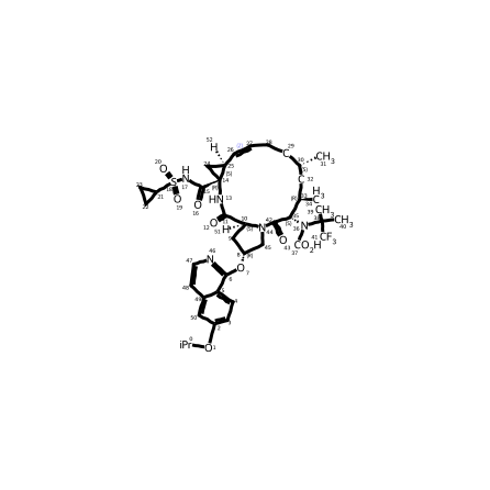 CC(C)Oc1ccc2c(O[C@@H]3C[C@H]4C(=O)N[C@]5(C(=O)NS(=O)(=O)C6CC6)C[C@H]5/C=C\CC[C@H](C)C[C@@H](C)[C@H](N(C(=O)O)C(C)(C)C(F)(F)F)C(=O)N4C3)nccc2c1